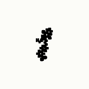 C[n+]1nc2c(n1CCCN1CCN(c3cccc([N+](=O)[O-])c3)CC1)C(=O)c1ccccc1C2=O